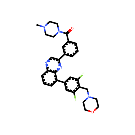 CN1CCN(C(=O)c2cccc(-c3cnc4cccc(-c5cc(F)c(CN6CCOCC6)c(F)c5)c4n3)c2)CC1